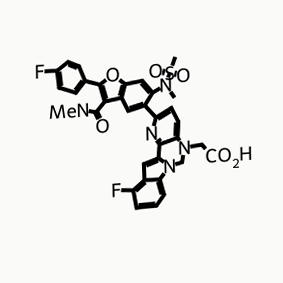 CNC(=O)c1c(-c2ccc(F)cc2)oc2cc(N(C)S(C)(=O)=O)c(-c3ccc4c(n3)-c3cc5c(F)cccc5n3CN4CC(=O)O)cc12